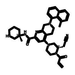 C=CC(=O)N1CCN(c2cc(C(=O)N[C@@]3(C)CCCNC3)nc3c2CCN(c2cccc4cccc(C)c24)C3)C[C@@H]1CC#N